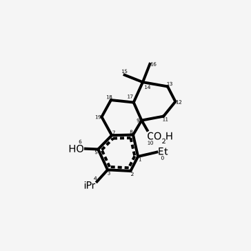 CCc1cc(C(C)C)c(O)c2c1C1(C(=O)O)CCCC(C)(C)C1CC2